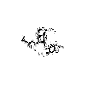 Bc1cc2c(cc1Sc1nc3c(N)ncnc3n1CCC(N)C1CC1)OCO2